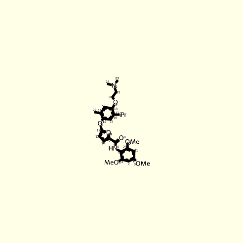 COc1cc(OC)c(NC(=O)c2ccc(Oc3cc(C(C)C)c(OCCN(C)C)cc3C)o2)c(OC)c1